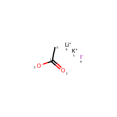 CC(=O)[O-].[I-].[K+].[Li+]